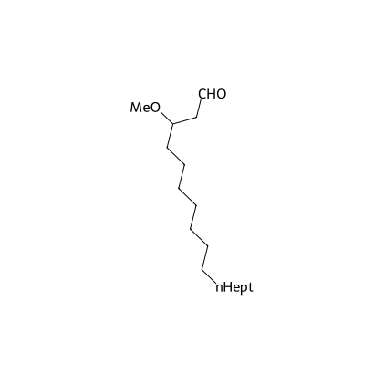 CCCCCCCCCCCCCCC(CC=O)OC